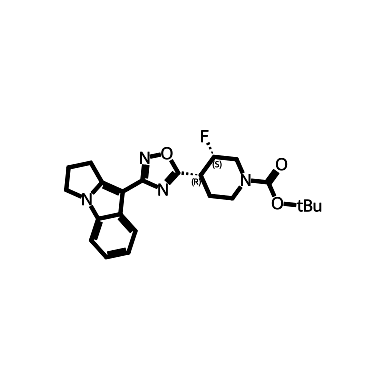 CC(C)(C)OC(=O)N1CC[C@H](c2nc(-c3c4n(c5ccccc35)CCC4)no2)[C@H](F)C1